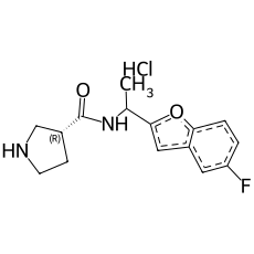 CC(NC(=O)[C@@H]1CCNC1)c1cc2cc(F)ccc2o1.Cl